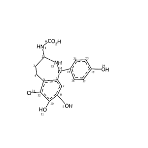 O=C(O)NC1CCc2c(cc(O)c(O)c2Cl)N(c2ccc(O)cc2)N1